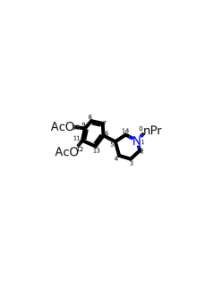 CCCN1CCCC(c2ccc(OC(C)=O)c(OC(C)=O)c2)C1